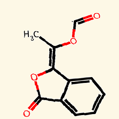 CC(O[C]=O)=C1OC(=O)c2ccccc21